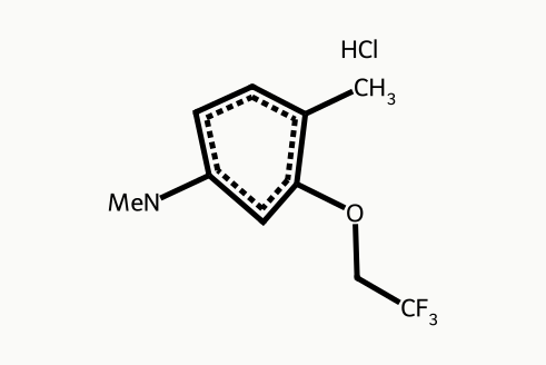 CNc1ccc(C)c(OCC(F)(F)F)c1.Cl